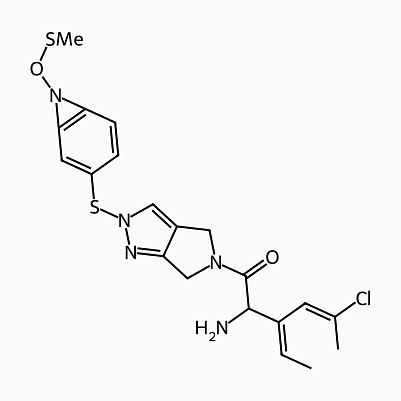 C/C=C(\C=C(/C)Cl)C(N)C(=O)N1Cc2cn(Sc3ccc4c(c3)N4OSC)nc2C1